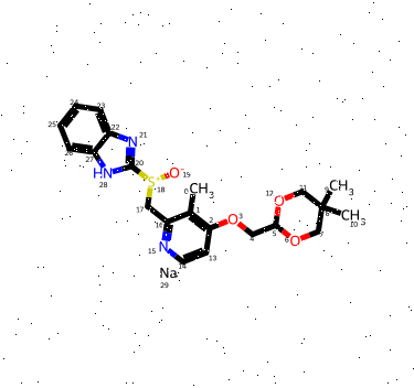 Cc1c(OCC2OCC(C)(C)CO2)ccnc1C[S+]([O-])c1nc2ccccc2[nH]1.[Na]